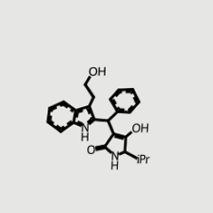 CC(C)C1NC(=O)C(C(c2ccccc2)c2[nH]c3ccccc3c2CCO)=C1O